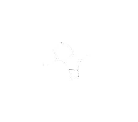 CN1c2ccc[n+](C)c2C2CCC21